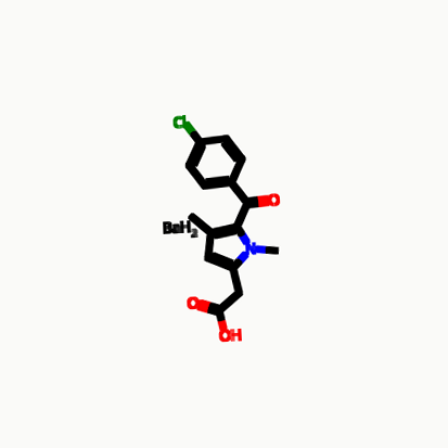 Cc1cc(CC(=O)O)n(C)c1C(=O)c1ccc(Cl)cc1.[BaH2]